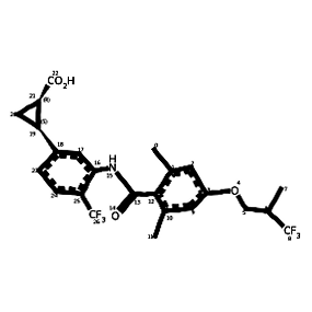 Cc1cc(OCC(C)C(F)(F)F)cc(C)c1C(=O)Nc1cc([C@H]2C[C@H]2C(=O)O)ccc1C(F)(F)F